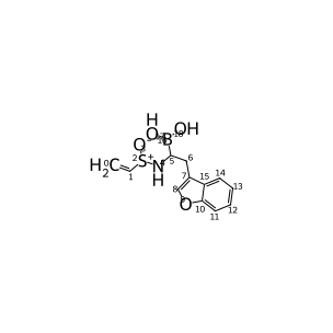 C=C[S+]([O-])NC(Cc1coc2ccccc12)B(O)O